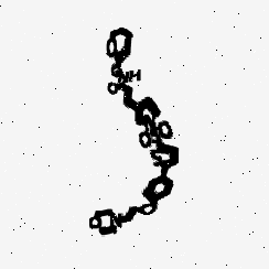 O=C(C=Cc1ccn(S(=O)(=O)c2ccc(-c3ccc(OCCN4CCOCC4)cc3)s2)c1)NOC1CCCCO1